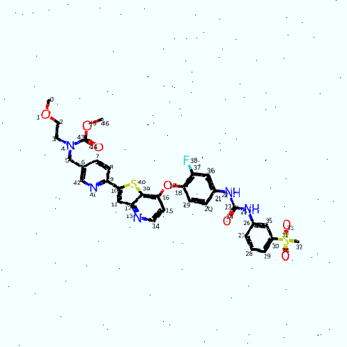 COCCN(Cc1ccc(-c2cc3nccc(Oc4ccc(NC(=O)Nc5cccc(S(C)(=O)=O)c5)cc4F)c3s2)nc1)C(=O)OC